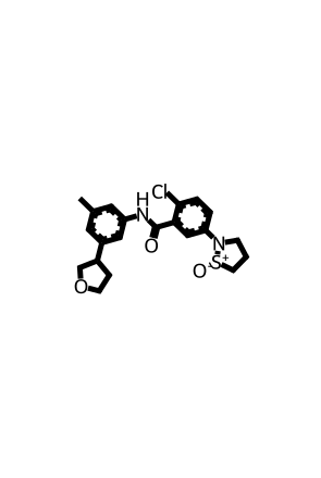 Cc1cc(NC(=O)c2cc(N3CCC[S+]3[O-])ccc2Cl)cc(C2CCOC2)c1